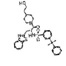 CC(C)(c1ccccc1)c1cccc(S(=O)(=O)N[C@@H](Cc2nc3ccccc3s2)C(=O)N2CCC(CCO)CC2)c1